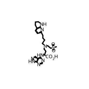 CS(=O)(=O)CCN(CCCCc1ccc2c(n1)NCCC2)CC[C@H](Nc1ncnc2[nH]ncc12)C(=O)O